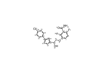 NC(=O)c1c(F)ccc(OCC(O)c2csc(-c3ccc(Cl)cc3)n2)c1F